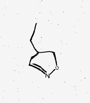 CCC1C=NOC1